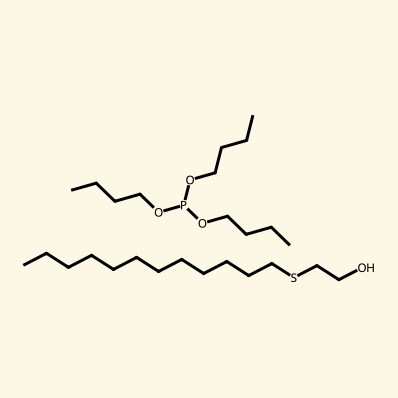 CCCCCCCCCCCCSCCO.CCCCOP(OCCCC)OCCCC